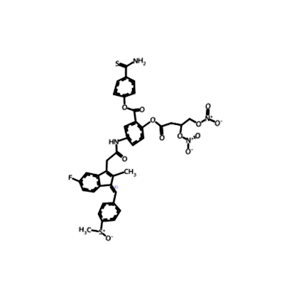 CC1=C(CC(=O)Nc2ccc(OC(=O)CC(CO[N+](=O)[O-])O[N+](=O)[O-])c(C(=O)Oc3ccc(C(N)=S)cc3)c2)c2cc(F)ccc2/C1=C\c1ccc([S+](C)[O-])cc1